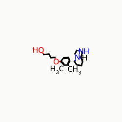 Cc1c(OCCCCO)ccc([C@H]2CCC[C@H]3CNCCN32)c1C